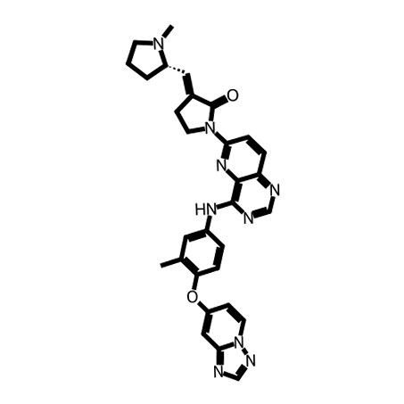 Cc1cc(Nc2ncnc3ccc(N4CC/C(=C\[C@@H]5CCCN5C)C4=O)nc23)ccc1Oc1ccn2ncnc2c1